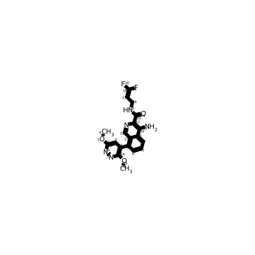 COc1cc(-c2cccc3c(N)c(C(=O)NCC=C(F)F)ncc23)c(OC)nn1